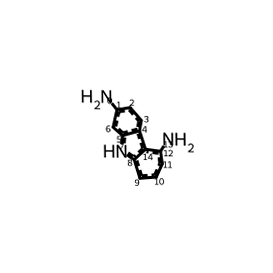 Nc1ccc2c(c1)[nH]c1cccc(N)c12